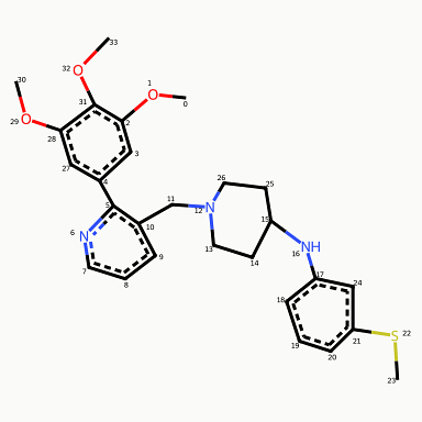 COc1cc(-c2ncccc2CN2CCC(Nc3cccc(SC)c3)CC2)cc(OC)c1OC